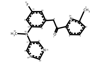 Cc1cccc(C(=O)Cc2cc(F)cc(N(C)c3cncnc3)c2)n1